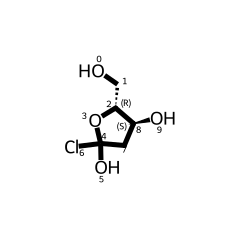 OC[C@H]1OC(O)(Cl)C[C@@H]1O